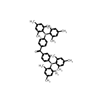 Cc1cc(C)c(B(c2ccc(C(=O)c3ccc(B(c4c(C)cc(C)cc4C)c4c(C)cc(C)cc4C)cc3)cc2)c2c(C)cc(C)cc2C)c(C)c1